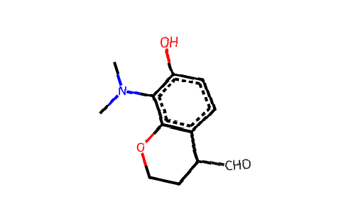 CN(C)c1c(O)ccc2c1OCCC2C=O